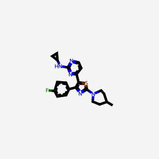 CC1CCN(c2nc(-c3ccc(F)cc3)c(-c3ccnc(NC4CC4)n3)s2)CC1